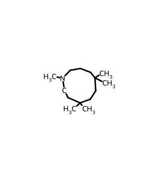 CN1CCCC(C)(C)CCC(C)(C)CC1